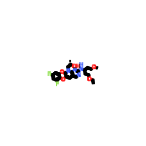 CCOCCC(CCOC)Nc1ncc2cc(Oc3ccc(F)cc3F)c(=O)n(C[C@H](C)O)c2n1